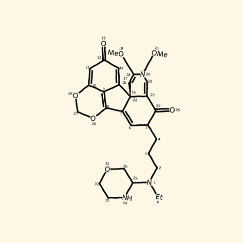 CCN(CCCC1C=C2C3=C4C(=CC(=O)C=C4[C@@]24C=C(OC)N(OC)C=C4C1=O)OCO3)C1COCCN1